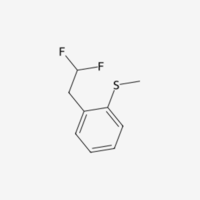 CSc1ccccc1CC(F)F